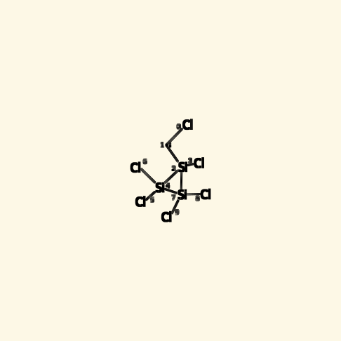 Cl[C][Si]1(Cl)[Si](Cl)(Cl)[Si]1(Cl)Cl